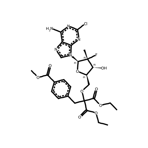 CCOC(=O)C(Cc1ccc(C(=O)OC)cc1)(OC[C@H]1O[C@@H](n2cnc3c(N)nc(Cl)nc32)[C@](C)(F)[C@@H]1O)C(=O)OCC